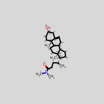 CC(CCC(=O)N(C)C)[C@H]1CCC2C3CC=C4C[C@@H](O)CC[C@]4(C)C3CC[C@@]21C